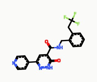 O=C(NCc1ccccc1CC(F)(F)F)c1cc(-c2ccncc2)n[nH]c1=O